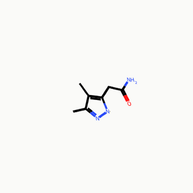 CC1=N[N]C(CC(N)=O)=C1C